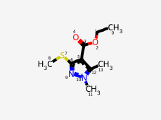 CCOC(=O)c1c(SC)nn(C)c1C